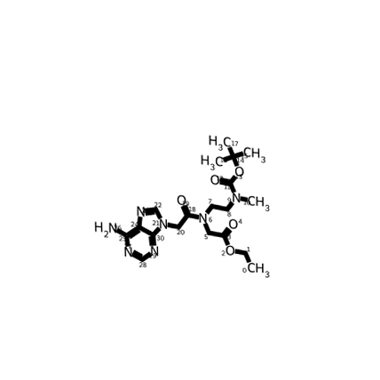 CCOC(=O)CN(CCN(C)C(=O)OC(C)(C)C)C(=O)Cn1cnc2c(N)ncnc21